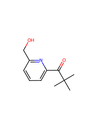 CC(C)(C)C(=O)c1cccc(CO)n1